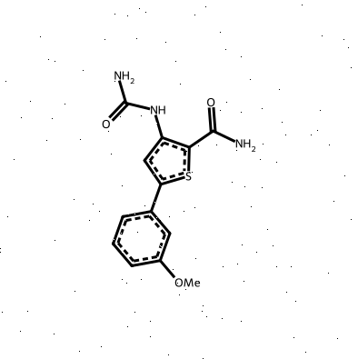 COc1cccc(-c2cc(NC(N)=O)c(C(N)=O)s2)c1